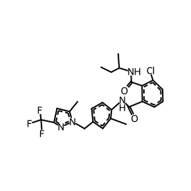 CCC(C)NC(=O)c1c(Cl)cccc1C(=O)Nc1ccc(Cn2nc(C(F)(F)F)cc2C)cc1C